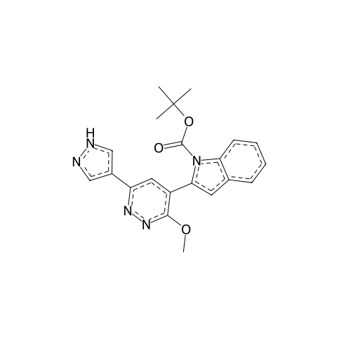 COc1nnc(-c2cn[nH]c2)cc1-c1cc2ccccc2n1C(=O)OC(C)(C)C